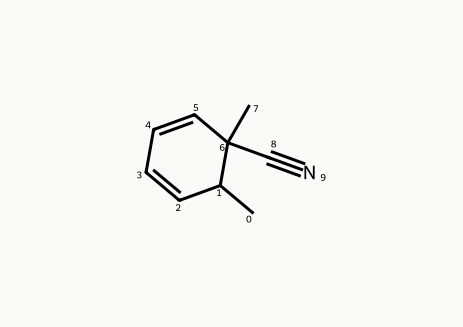 CC1C=CC=CC1(C)C#N